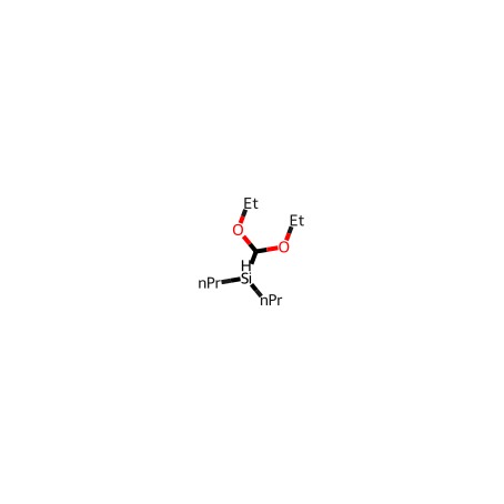 CCC[SiH](CCC)C(OCC)OCC